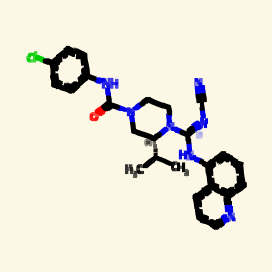 CC(C)[C@@H]1CN(C(=O)Nc2ccc(Cl)cc2)CCN1/C(=N\C#N)Nc1cccc2ncccc12